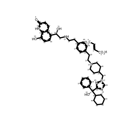 O=C(O)/C=C/C(=O)O.O=c1ccc2c([C@@H](O)CNCCc3ccc(CCN4CCC(Cn5cnc([C@](O)(c6ccccc6)C6CCCCC6)n5)CC4)cc3)ccc(O)c2[nH]1